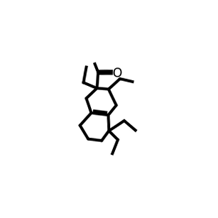 CCC1CC2=C(CCCC2(CC)CC)CC1(CC)C(C)=O